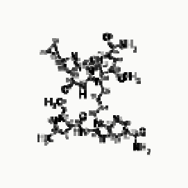 CCn1nc(C)cc1C(=O)Nc1nc2cc(C(N)=O)cnc2n1CC=CCn1c(NC(=O)c2cc(C3CC3)nn2CC)nc2cc(C(N)=O)cc(OC)c21